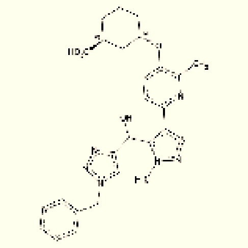 Cc1nc(-c2nnn(C)c2C(O)c2cn(Cc3ccccc3)nn2)ccc1O[C@H]1CCC[C@H](C(=O)O)C1